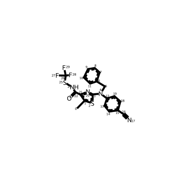 Cc1sc(N(Cc2ccccc2)c2ccc(C#N)cc2)nc1C(=O)NSC(F)(F)F